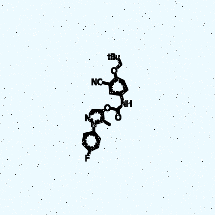 Cc1c(OC(=O)Nc2ccc(OCC(C)(C)C)c(C#N)c2)cnn1-c1ccc(F)cc1